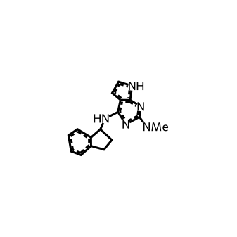 CNc1nc(NC2CCc3ccccc32)c2cc[nH]c2n1